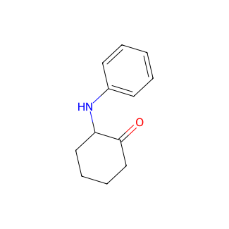 O=C1CCCCC1Nc1ccccc1